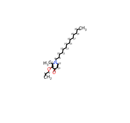 C=CCOc1c(C)n(CCCCCCCCCCCCCC)ccc1=O